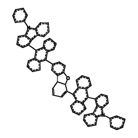 C1=CC2c3cc(-c4c5ccccc5c(-c5cccc6c5c5ccccc5n6-c5ccccc5)c5ccccc45)ccc3OC2C(c2c3ccccc3c(-c3cccc4c3c3ccccc3n4-c3ccccc3)c3ccccc23)=C1